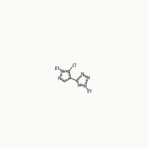 CCn1nnc(-c2cnn(CC)c2Cl)n1